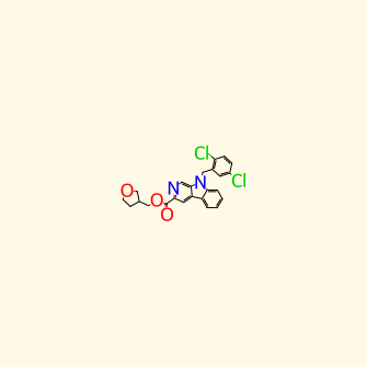 O=C(OCC1CCOC1)c1cc2c3ccccc3n(Cc3cc(Cl)ccc3Cl)c2cn1